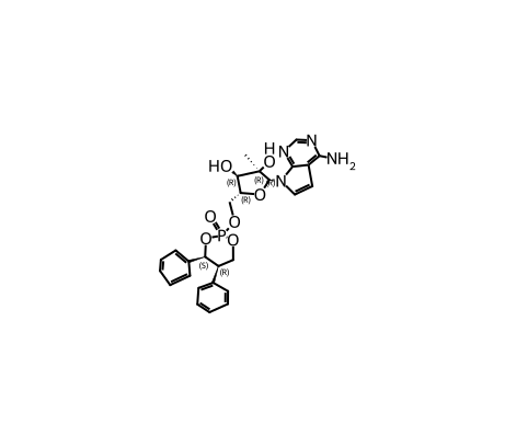 C[C@@]1(O)[C@H](O)[C@@H](COP2(=O)OC[C@@H](c3ccccc3)[C@@H](c3ccccc3)O2)O[C@H]1n1ccc2c(N)ncnc21